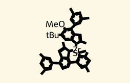 COc1c(C(C)(C)C)cc2c(c1-c1cc(C)cc(C)c1)C=C(C)[CH]2[Zr]([CH]1C(C)=Cc2c(-c3cc(C)cc(C)c3)ccc(-c3cc(C)cc(C)c3)c21)=[Si](C)C